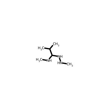 CNNC(NC)C(C)C